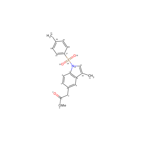 COC(=O)Cc1ccc2c(c1)c(C)cn2S(=O)(=O)c1ccc(C)cc1